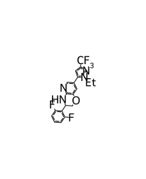 CCn1nc(C(F)(F)F)cc1-c1cnc2c(c1)OCC(c1c(F)cccc1F)N2